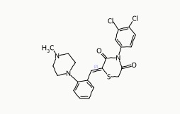 CN1CCN(c2ccccc2/C=C2\SCC(=O)N(c3ccc(Cl)c(Cl)c3)C2=O)CC1